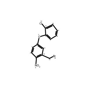 O=[N+]([O-])c1ccc(Oc2ccccc2Cl)cc1CBr